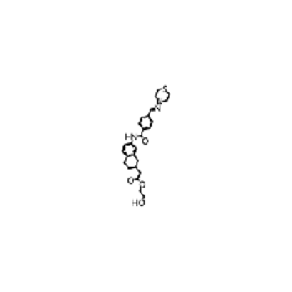 O=C(CC1CCc2ccc(NC(=O)c3ccc(C=NN4CCSCC4)cc3)cc2C1)OCCO